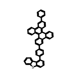 c1ccc(-c2ccc3c(c2)c2ccccc2c2c4ccc(-c5ccc(-c6cccc7sc8ccccc8c67)cc5)cc4c4ccccc4c32)cc1